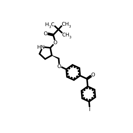 CC(C)(C)C(=O)OC1NCC[C@@H]1COc1ccc(C(=O)c2ccc(I)cc2)cc1